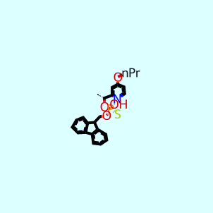 CCCOc1ccnc([C@@H](C)O[P@](O)(=S)OCC2c3ccccc3-c3ccccc32)c1